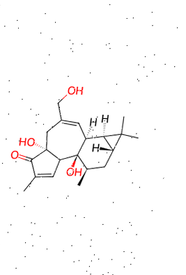 CC1=CC2[C@@]3(O)[C@H](C)C[C@@H]4[C@@H]([C@@H]3C=C(CO)C[C@]2(O)C1=O)C4(C)C